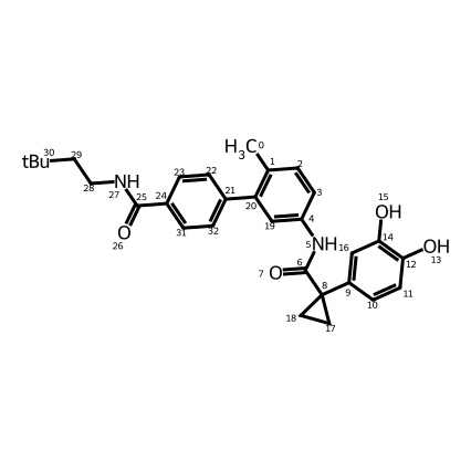 Cc1ccc(NC(=O)C2(c3ccc(O)c(O)c3)CC2)cc1-c1ccc(C(=O)NCCC(C)(C)C)cc1